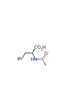 CC(C)C[C@H](N[S+](C)[O-])C(=O)O